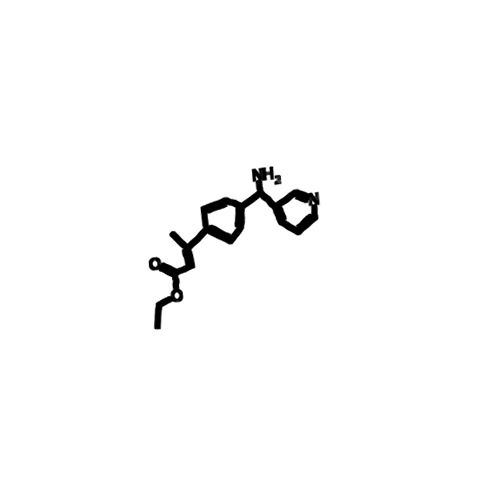 CCOC(=O)C=C(C)c1ccc(C(N)c2cccnc2)cc1